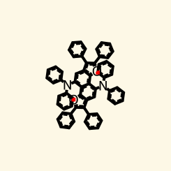 c1ccc(-c2oc3c(cc(N(c4ccccc4)c4ccccc4)c4c5oc(-c6ccccc6)c(-c6ccccc6)c5cc(N(c5ccccc5)c5ccccc5)c34)c2-c2ccccc2)cc1